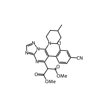 COC(=O)C(C(=O)OC)c1nc2ncnn2c(N2CCC(C)CC2)c1-c1ccc(C#N)cc1Cl